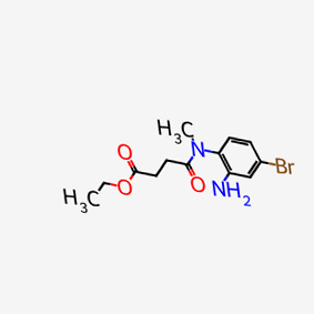 CCOC(=O)CCC(=O)N(C)c1ccc(Br)cc1N